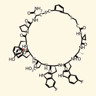 C[C@H]1NC(=O)C2(CC2)NC(=O)CCSCc2cccc(c2)CSC[C@@H](C(N)=O)NC(=O)[C@]2(C)CCCN2C(=O)[C@H](Cc2ccc(O)cc2)NC(=O)[C@H](Cc2cnc[nH]2)NC(=O)[C@H](CC(=O)O)NC(=O)[C@H](Cc2c[nH]c3ccc(F)cc23)NC(=O)[C@H](Cc2c[nH]c3ccc(F)cc23)NC1=O